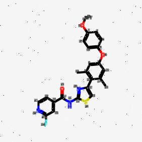 CCCOc1ccc(Oc2cc(C)c(-c3csc(NC(=O)c4ccnc(F)c4)n3)c(C)c2)cc1